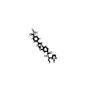 CCC(NC(=O)c1ccc2c(c1)sc1nc(-c3ccc(C(=O)NC)cc3)cn12)c1ccnn1C